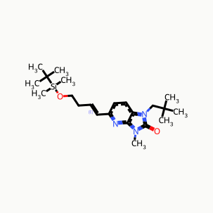 Cn1c(=O)n(CC(C)(C)C)c2ccc(/C=C/CCO[Si](C)(C)C(C)(C)C)nc21